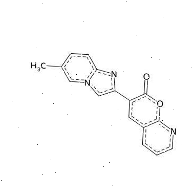 Cc1ccc2nc(-c3cc4cccnc4oc3=O)cn2c1